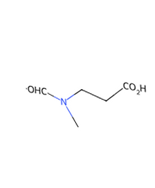 CN([C]=O)CCC(=O)O